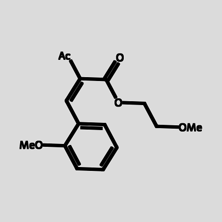 COCCOC(=O)C(=Cc1ccccc1OC)C(C)=O